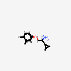 Cc1ccc(OCC(N)C2CC2)cc1C